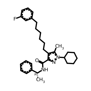 Cc1c(CCCCCCc2cccc(F)c2)c(C(=O)N[C@H](C)c2ccccc2)nn1C1CCCCC1